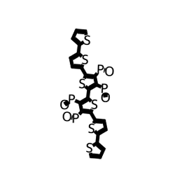 O=Pc1c(-c2ccc(-c3cccs3)s2)sc(-c2sc(-c3ccc(-c4cccs4)s3)c(P=O)c2P=O)c1P=O